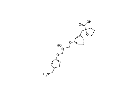 NCc1ccc(OC[C@H](O)COc2cccc(CC3(C(=O)O)CCCO3)c2)cc1